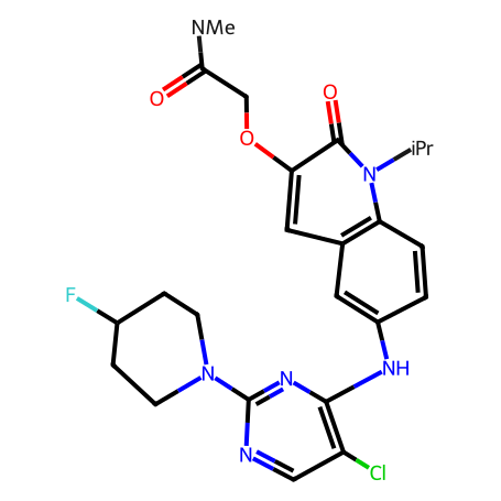 CNC(=O)COc1cc2cc(Nc3nc(N4CCC(F)CC4)ncc3Cl)ccc2n(C(C)C)c1=O